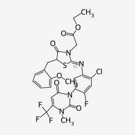 CCOC(=O)CN1C(=O)C(Cc2ccccc2OC)S/C1=N\c1cc(-n2c(=O)cc(C(F)(F)F)n(C)c2=O)c(F)cc1Cl